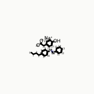 CCCCc1ccc(/N=N/c2ccccc2)cc1.O=C([O-])Cc1ccc(O)cc1.[Na+]